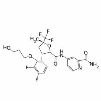 C[C@]1(C(F)(F)F)C[C@@H](c2ccc(F)c(F)c2OCCCO)C(C(=O)Nc2ccnc(C(N)=O)c2)O1